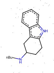 CCCCNC1CCc2[nH]c3ccccc3c2C1